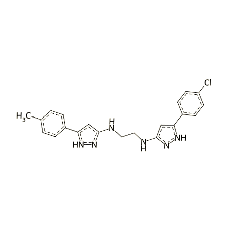 Cc1ccc(-c2cc(NCCNc3cc(-c4ccc(Cl)cc4)[nH]n3)n[nH]2)cc1